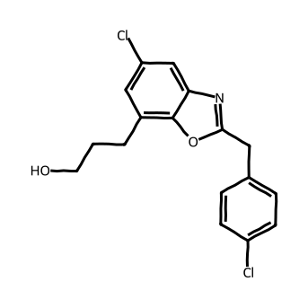 OCCCc1cc(Cl)cc2nc(Cc3ccc(Cl)cc3)oc12